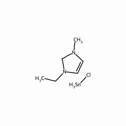 CCN1C=CN(C)C1.[Cl][SnH3]